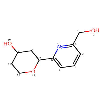 OCc1cccc(C2CC(O)CCO2)n1